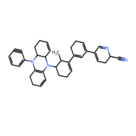 CC1C(C2=CC(C3=CCC(C#N)N=C3)=CCC2)=CCCC1N1C2=C(CCC=C2)N(c2c#cccc2)C2CCC=CC21